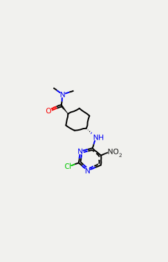 CN(C)C(=O)[C@H]1CC[C@H](Nc2nc(Cl)ncc2[N+](=O)[O-])CC1